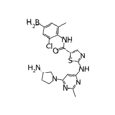 Bc1cc(C)c(NC(=O)c2cnc(Nc3cc(N4CC[C@H](N)C4)nc(C)n3)s2)c(Cl)c1